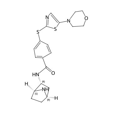 O=C(N[C@@H]1C[C@H]2CC[C@@H]1N2)c1ccc(Sc2ncc(N3CCOCC3)s2)cc1